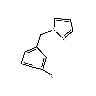 Clc1cccc(Cn2cc[c]n2)c1